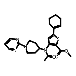 COC(=O)c1sc(C2=CCCCC2)cc1N(C(C)=O)C1CCN(c2ncccn2)CC1